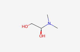 CN(C)[C@@H](O)CO